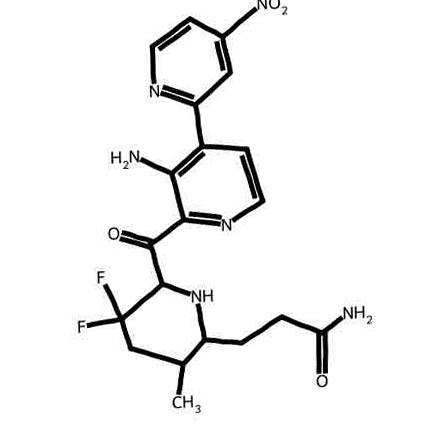 CC1CC(F)(F)C(C(=O)c2nccc(-c3cc([N+](=O)[O-])ccn3)c2N)NC1CCC(N)=O